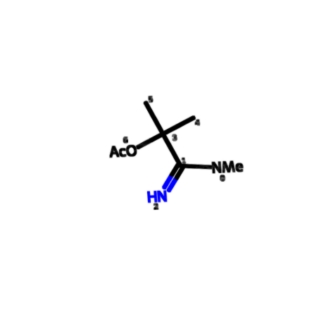 CNC(=N)C(C)(C)OC(C)=O